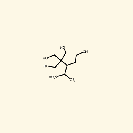 CC(N(CCO)C(CO)(CO)CO)S(=O)(=O)O